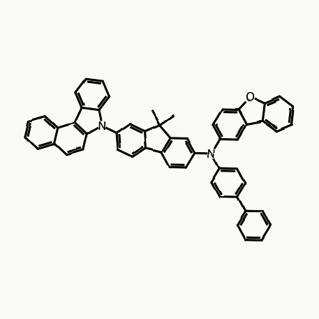 CC1(C)c2cc(N(c3ccc(-c4ccccc4)cc3)c3ccc4oc5ccccc5c4c3)ccc2-c2ccc(-n3c4ccccc4c4c5ccccc5ccc43)cc21